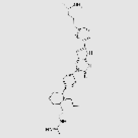 CCCN1C(CCNC(C)=N)CCC[C@H]1c1ccc(-n2cc3cc(-c4cccc(CCC[C@H](C)N)n4)[nH]c3nc2=O)cc1